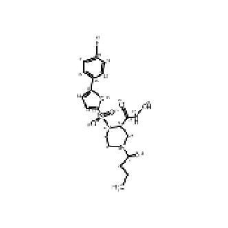 CCCC(=O)N1CCN(S(=O)(=O)c2ccc(-c3ccc(F)cc3)s2)[C@@H](C(=O)NO)C1